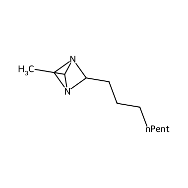 CCCCCCCCC1N2CN1C2C